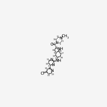 CN1CCN(C(=O)c2cc3cc(Nc4nccc(-c5cc(Cl)ccn5)n4)ccc3[nH]2)CC1